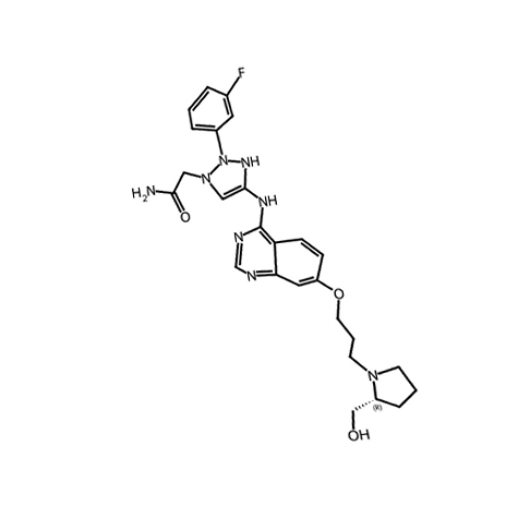 NC(=O)CN1C=C(Nc2ncnc3cc(OCCCN4CCC[C@@H]4CO)ccc23)NN1c1cccc(F)c1